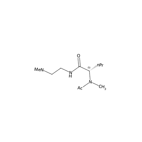 CCC[C@@H](C(=O)NCCNC)N(C)C(C)=O